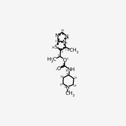 Cc1c(C(C)OC(=O)NC2CCN(C)CC2)sc2ncnn12